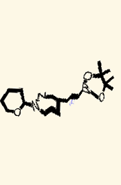 CC1(C)OB(/C=C/c2ccn(C3CCCCO3)n2)OC1(C)C